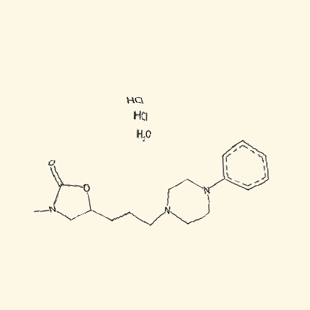 CN1CC(CCCN2CCN(c3ccccc3)CC2)OC1=O.Cl.Cl.O